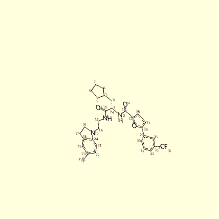 O=C(N[C@@H](CC1CCCC1)C(=O)NCCN1CCc2cc(F)ccc21)c1ccc(-c2cccc(C(F)(F)F)c2)o1